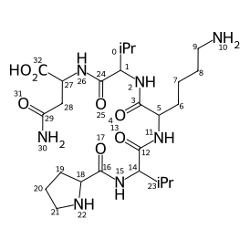 CC(C)C(NC(=O)C(CCCCN)NC(=O)C(NC(=O)C1CCCN1)C(C)C)C(=O)NC(CC(N)=O)C(=O)O